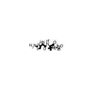 CC1(C)[C@H](NC(=O)C(=N)c2csc(N)n2)C(=O)N1OS(=O)(=O)I